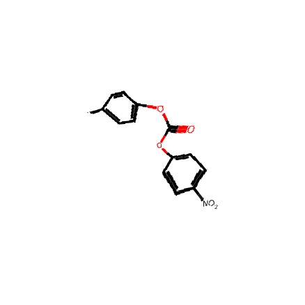 [CH2]c1ccc(OC(=O)Oc2ccc([N+](=O)[O-])cc2)cc1